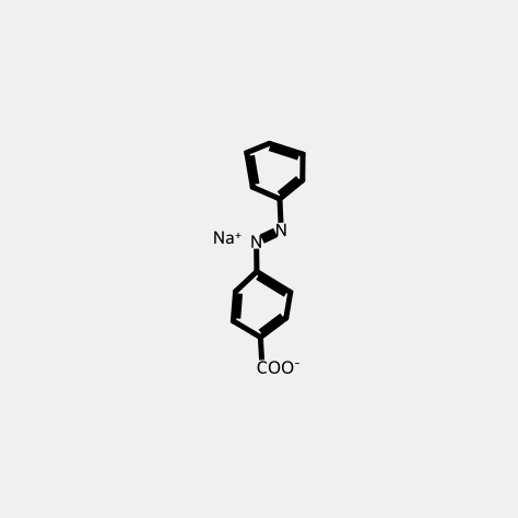 O=C([O-])c1ccc(N=Nc2ccccc2)cc1.[Na+]